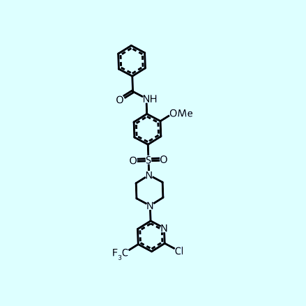 COc1cc(S(=O)(=O)N2CCN(c3cc(C(F)(F)F)cc(Cl)n3)CC2)ccc1NC(=O)c1ccccc1